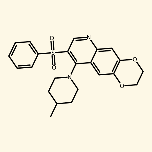 CC1CCN(c2c(S(=O)(=O)c3ccccc3)cnc3cc4c(cc23)OCCO4)CC1